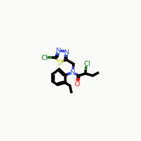 CCc1ccccc1N(Cc1nnc(Cl)s1)C(=O)C(Cl)CC